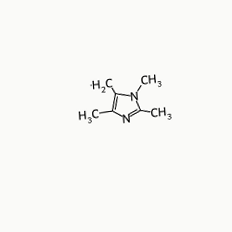 [CH2]c1c(C)nc(C)n1C